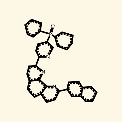 O=P(c1ccccc1)(c1ccccc1)c1ccc(-c2ccc3ccc4ccc(-c5ccc6ccccc6c5)nc4c3n2)nc1